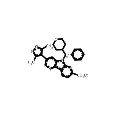 CCOC(=O)c1ccc2c3ncc(-c4c(C)noc4C)cc3n([C@@H](c3ccccc3)C3CCOCC3)c2n1